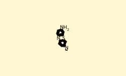 CN=c1ccc2nc3ccc(N)cc3sc-2c1